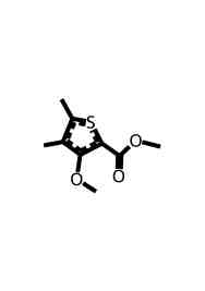 COC(=O)c1sc(C)c(C)c1OC